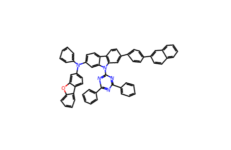 c1ccc(-c2nc(-c3ccccc3)nc(-n3c4cc(-c5ccc(-c6ccc7ccccc7c6)cc5)ccc4c4ccc(N(c5ccccc5)c5ccc6c(c5)oc5ccccc56)cc43)n2)cc1